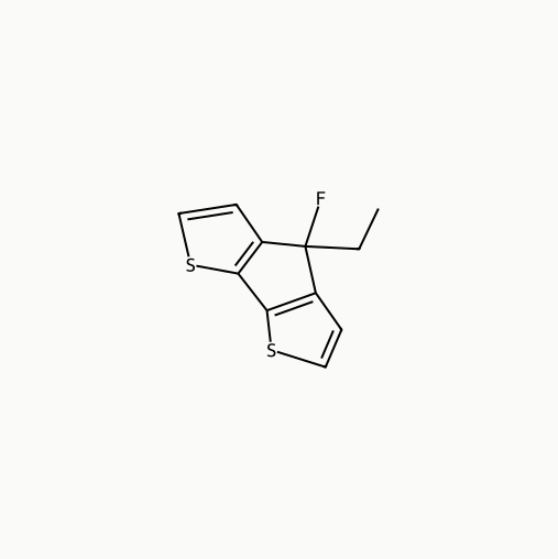 CCC1(F)c2ccsc2-c2sccc21